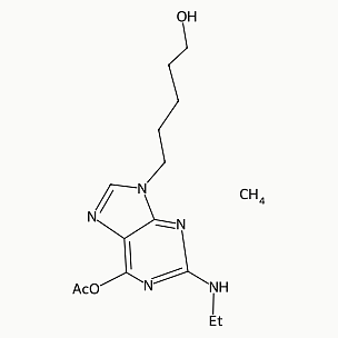 C.CCNc1nc(OC(C)=O)c2ncn(CCCCCO)c2n1